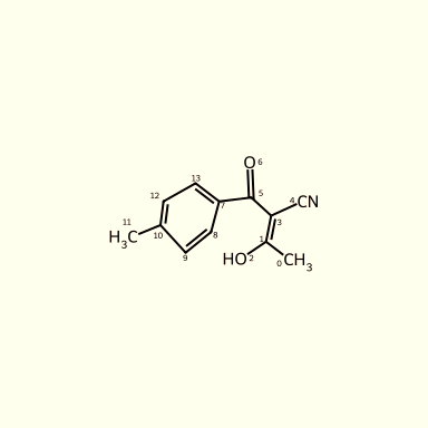 CC(O)=C(C#N)C(=O)c1ccc(C)cc1